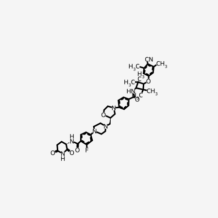 Cc1cc(OC2C(C)(C)C(NC(=O)c3ccc(N4CCO[C@H](CN5CCN(c6ccc(C(=O)N[C@H]7CCC(=O)NC7=O)c(F)c6)CC5)C4)cc3)C2(C)C)cc(C)c1C#N